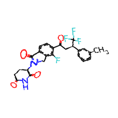 Cc1cccc([C@@H](CC(=O)c2ccc3c(c2F)CN(C2CCC(=O)NC2=O)C3=O)C(F)(F)F)c1